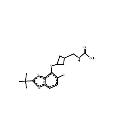 CC(C)(C)c1nc2ccc(Cl)c(SC3CC(CNC(=O)O)C3)c2o1